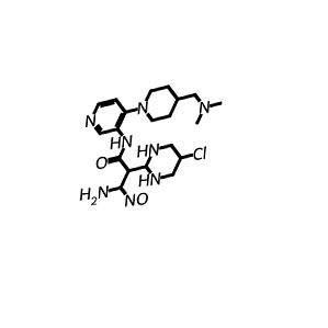 CN(C)CC1CCN(c2ccncc2NC(=O)C(C(N)N=O)C2NCC(Cl)CN2)CC1